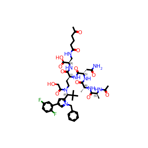 CC(=O)CCCC(=O)NC[C@@H](NC(=O)[C@H](CCN(C(=O)CO)[C@@H](c1cc(-c2cc(F)ccc2F)cn1Cc1ccccc1)C(C)(C)C)NC(=O)[C@H](CC(N)=O)NC(=O)[C@@H](C)NC(=O)[C@H](C)NC(C)=O)C(=O)O